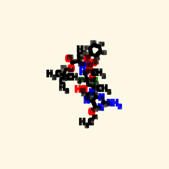 CCOc1nc(N)nc2c1ncn2[C@](C)(F)[C@H](O)[C@@](F)(COP(=O)(NC(C)C(=O)OCC(C)(C)C)Oc1ccccc1)OC